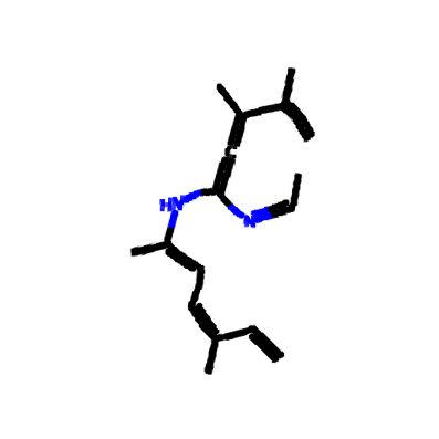 C=C/C(C)=C\C=C(/C)NC(=C=C(C)C(=C)C)/N=C\C